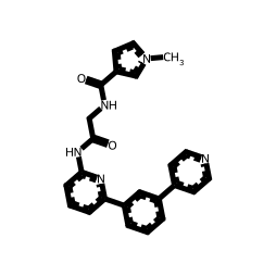 Cn1ccc(C(=O)NCC(=O)Nc2cccc(-c3cccc(-c4ccncc4)c3)n2)c1